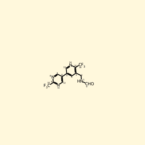 O=CNCc1cc(-c2cnc(C(F)(F)F)nc2)cnc1C(F)(F)F